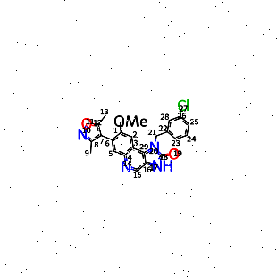 COc1cc2c(cc1-c1c(C)noc1C)ncc1[nH]c(=O)n(Cc3cccc(Cl)c3)c12